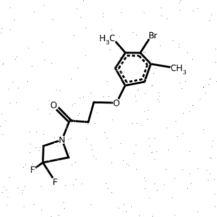 Cc1cc(OCCC(=O)N2CC(F)(F)C2)cc(C)c1Br